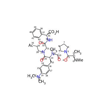 CN[C@H](C)C(=O)N1CCC[C@H]1C(=O)N(C)[C@@H](Cc1ccc(N(C)C)cc1)C(=O)N(CCC(C)=O)CC(=O)N[C@H](C(=O)O)c1ccccc1